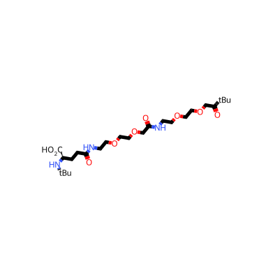 CC(C)(C)N[C@@H](CCC(=O)NCCOCCOCC(=O)NCCOCCOCC(=O)C(C)(C)C)C(=O)O